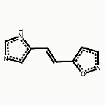 C(=Cc1ccno1)c1cnc[nH]1